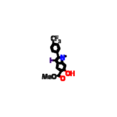 COC(=O)c1cc2c(I)c(-c3ccc(C(F)(F)F)cc3)n(C)c2cc1O